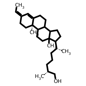 C/C=C1\C=C2CCC3C4CCC([C@H](C)CCC[C@@H](C)CO)C4(C)CCC3[C@@]2(C)CC1